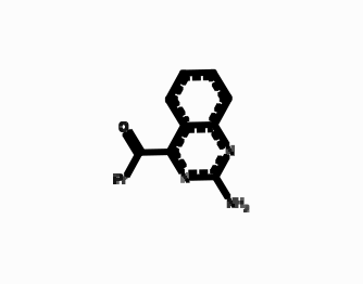 CC(C)C(=O)c1nc(N)nc2ccccc12